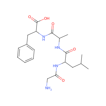 CC(C)CC(NC(=O)CN)C(=O)NC(C)C(=O)NC(Cc1ccccc1)C(=O)O